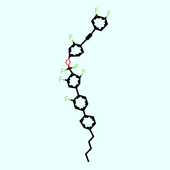 CCCCCc1ccc(-c2ccc(-c3cc(F)c(C(F)(F)Oc4ccc(C#Cc5ccc(F)c(F)c5)c(F)c4)c(F)c3)c(F)c2)cc1